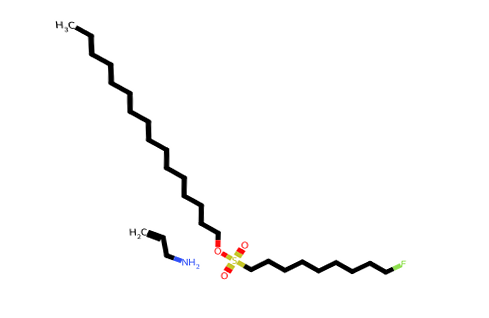 C=CCN.CCCCCCCCCCCCCCCCOS(=O)(=O)CCCCCCCCCF